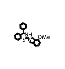 COc1cccc2c1CN(C(=S)NC(c1ccccc1)c1ccccc1)C2